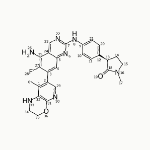 Cc1c(-c2cc3nc(Nc4ccc([C@H]5CCN(C)C5=O)cc4)ncc3c(N)c2F)cnc2c1NCCO2